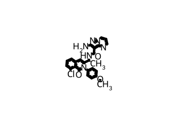 COc1ccc(-n2c([C@H](C)NC(=O)c3c(N)nn4cccnc34)cc3cccc(Cl)c3c2=O)cc1